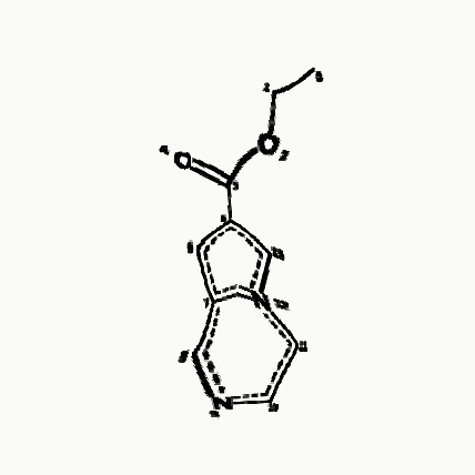 CCOC(=O)c1cc2cnccn2c1